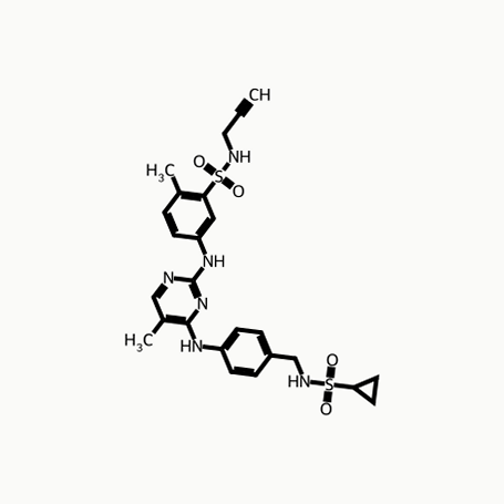 C#CCNS(=O)(=O)c1cc(Nc2ncc(C)c(Nc3ccc(CNS(=O)(=O)C4CC4)cc3)n2)ccc1C